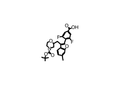 Cc1ccc2c(CC3CN(C(=O)OC(C)(C)C)CCO3)c(-c3c(F)cc(C(=O)O)cc3F)oc2c1